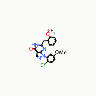 COc1ccc(Cl)c(-n2ncc3c(=O)[nH]c(Cc4ccccc4OC(F)(F)F)nc32)c1